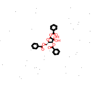 O=C(OC[C@@H]1O[C@@H](OC(=O)c2ccccc2)C(O)(O)[C@H]1OC(=O)c1ccccc1)c1ccccc1